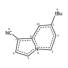 CC(C)(C)c1ccn2ccc(C#N)c2c1